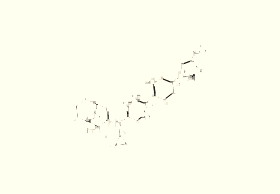 C[C@@]12CCC[C@@H](N1)[C@@H](F)[C@@H](N(c1cnc(-c3ccc(-n4cc(C#N)nn4)cc3O)nn1)C1CC1)C2